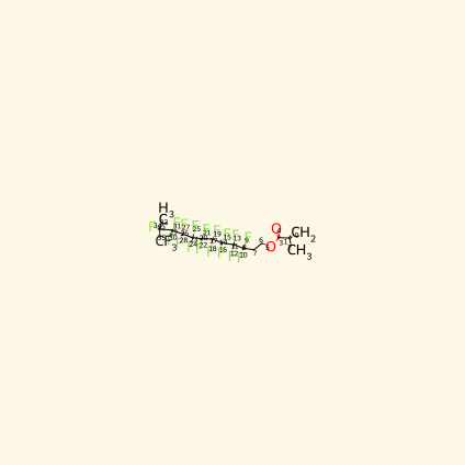 C=C(C)C(=O)OCCC(F)(F)C(F)(F)C(F)(F)C(F)(F)C(F)(F)C(F)(F)C(F)(F)C(F)(F)C(C)(F)C(F)(F)F